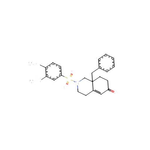 COc1ccc(S(=O)(=O)N2CCC3=CC(=O)CCC3(Cc3ccccc3)C2)cc1OC